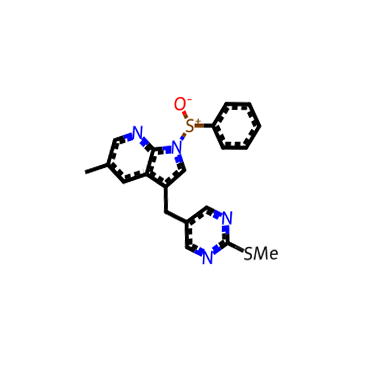 CSc1ncc(Cc2cn([S+]([O-])c3ccccc3)c3ncc(C)cc23)cn1